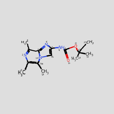 Cc1nc(C)c2nc(NC(=O)OC(C)(C)C)cn2c1C